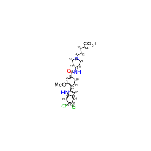 COc1cc(C(=O)NC2CCN(CCCCC(=O)O)CC2)ccc1-c1cc2cc(Cl)c(Cl)cc2[nH]1